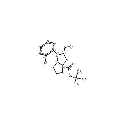 CC(C)(C)OC(=O)[C@]12CCCN1[C@@H](c1cccnc1Cl)[C@@H](CO)C2